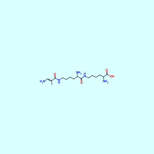 C/C(=C\N)C(=O)NCCCCC(N)C(=O)NCCCCC(N)C(=O)O